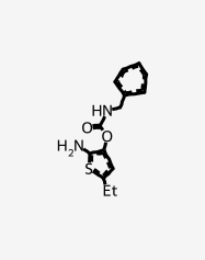 CCc1cc(OC(=O)NCc2ccccc2)c(N)s1